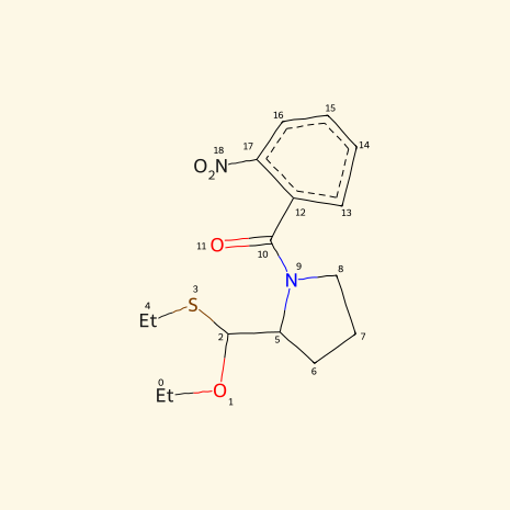 CCOC(SCC)C1CCCN1C(=O)c1ccccc1[N+](=O)[O-]